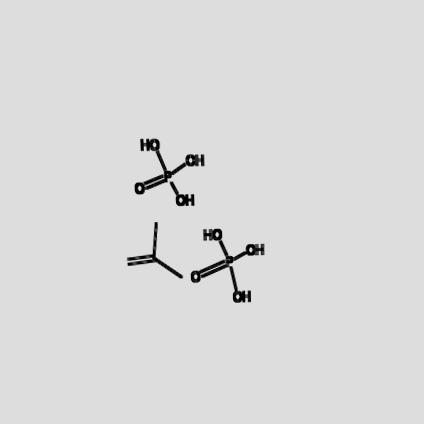 C=C(C)C.O=P(O)(O)O.O=P(O)(O)O